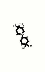 CCC1(C)CCN(C2CCC(F)(F)CC2)CC1